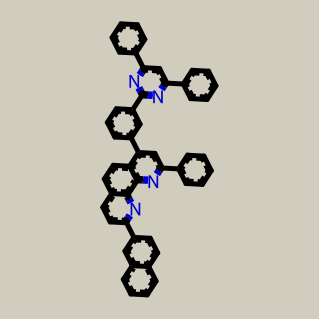 c1ccc(-c2cc(-c3ccccc3)nc(-c3cccc(-c4cc(-c5ccccc5)nc5c4ccc4ccc(-c6ccc7ccccc7c6)nc45)c3)n2)cc1